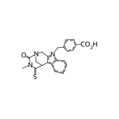 CN1C(=O)N2Cc3c(c4ccccc4n3Cc3ccc(C(=O)O)cc3)C(C2)C1=S